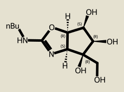 CCCCNC1=N[C@H]2[C@@H](O1)[C@@H](O)[C@@H](O)[C@]2(O)CO